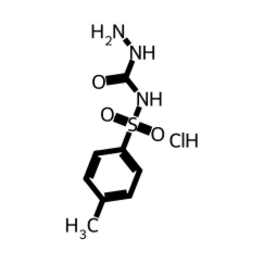 Cc1ccc(S(=O)(=O)NC(=O)NN)cc1.Cl